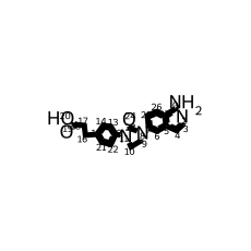 Nc1nccc2cc(N3CCN(c4ccc(CCC(=O)O)cc4)C3=O)ccc12